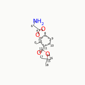 Cc1c(OC(=O)CN)cccc1C(=O)OC(C)(C)C